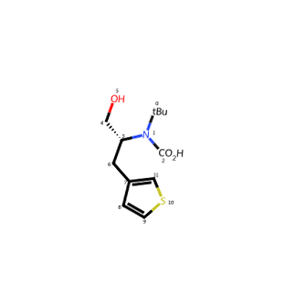 CC(C)(C)N(C(=O)O)[C@@H](CO)Cc1ccsc1